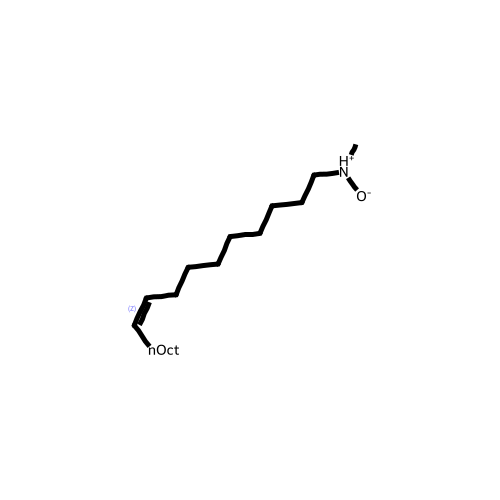 CCCCCCCC/C=C\CCCCCCCC[NH+](C)[O-]